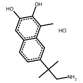 Cc1c(O)c(O)cc2ccc(C(C)(C)CN)cc12.Cl